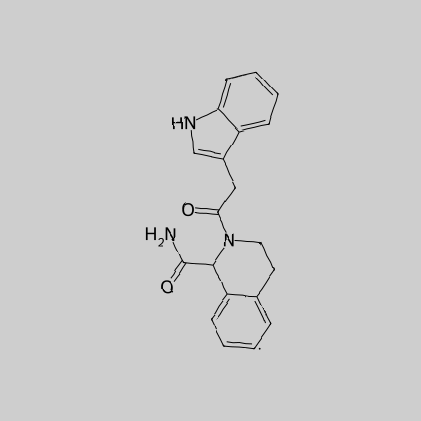 NC(=O)C1c2cc[c]cc2CCN1C(=O)Cc1c[nH]c2ccccc12